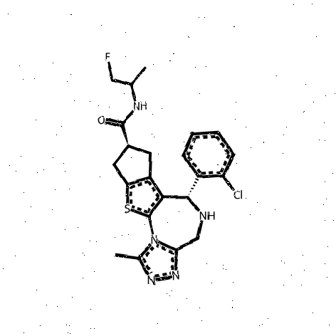 Cc1nnc2n1-c1sc3c(c1[C@H](c1ccccc1Cl)NC2)C[C@H](C(=O)NC(C)CF)C3